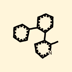 Cc1ncccc1-c1ccccc1-c1ccccc1